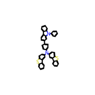 c1ccc(-n2c3ccccc3c3ccc(-c4ccc(N(c5ccc6sc7ccccc7c6c5)c5ccc6sc7ccccc7c6c5)cc4)cc32)cc1